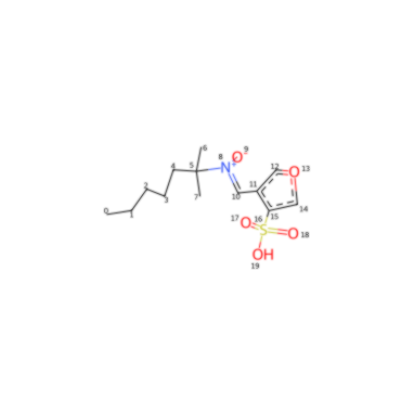 CCCCCC(C)(C)[N+]([O-])=Cc1cocc1S(=O)(=O)O